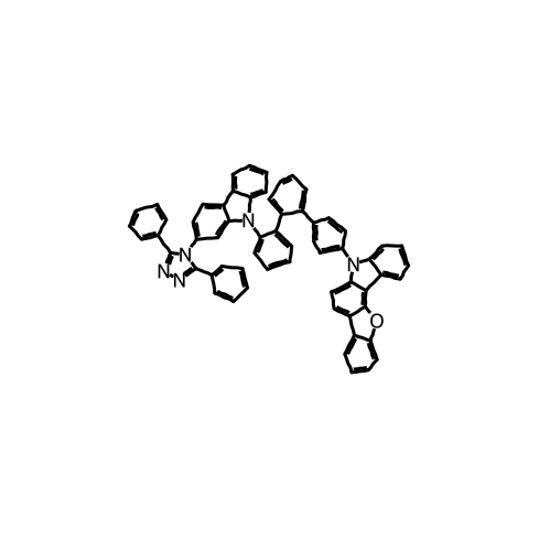 c1ccc(-c2nnc(-c3ccccc3)n2-c2ccc3c4ccccc4n(-c4ccccc4-c4ccccc4-c4ccc(-n5c6ccccc6c6c7oc8ccccc8c7ccc65)cc4)c3c2)cc1